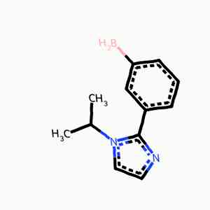 Bc1cccc(-c2nccn2C(C)C)c1